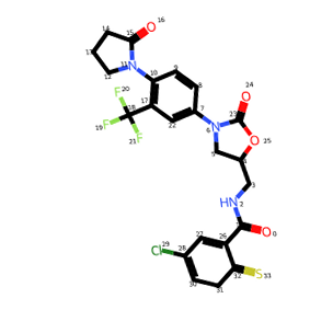 O=C(NCC1CN(c2ccc(N3CCCC3=O)c(C(F)(F)F)c2)C(=O)O1)C1=CC(Cl)=CCC1=S